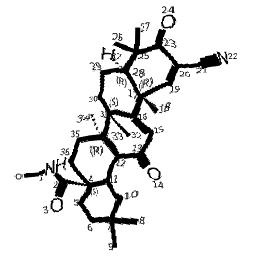 CNC(=O)[C@]12CCC(C)(C)CC1C1C(=O)C=C3[C@@]4(C)C=C(C#N)C(=O)C(C)(C)[C@@H]4CC[C@@]3(C)[C@]1(C)CC2